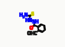 NC(=S)NNC(=O)c1ccccc1C=O